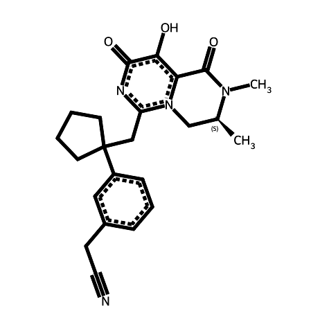 C[C@H]1Cn2c(CC3(c4cccc(CC#N)c4)CCCC3)nc(=O)c(O)c2C(=O)N1C